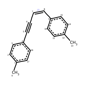 Cc1ccc(C#C/C=C\c2ccc(C)cc2)cc1